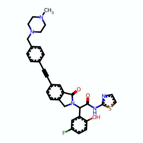 CN1CCN(Cc2ccc(C#Cc3ccc4c(c3)C(=O)N(C(C(=O)Nc3nccs3)c3cc(F)ccc3O)C4)cc2)CC1